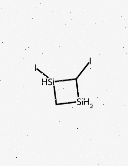 IC1[SiH2]C[SiH]1I